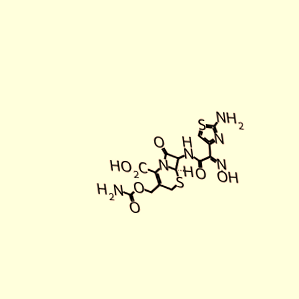 NC(=O)OCC1=C(C(=O)O)N2C(=O)C(NC(=O)/C(=N\O)c3csc(N)n3)[C@H]2SC1